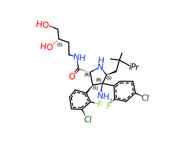 CC(C)C(C)(C)C[C@@H]1N[C@@H](C(=O)NCC[C@H](O)CO)[C@H](c2cccc(Cl)c2F)[C@@]1(N)c1ccc(Cl)cc1F